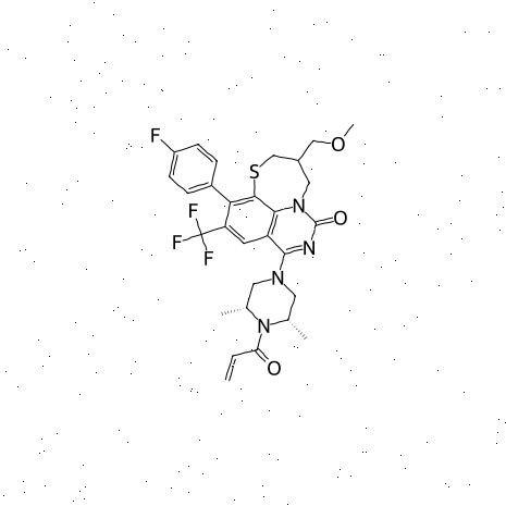 C=CC(=O)N1[C@H](C)CN(c2nc(=O)n3c4c(c(-c5ccc(F)cc5)c(C(F)(F)F)cc24)SCC(COC)C3)C[C@@H]1C